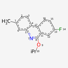 Cc1ccc2c(c1)nc(OC(C)C)c1cc(F)ccc12